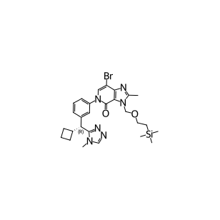 Cc1nc2c(Br)cn(-c3cccc([C@H](c4nncn4C)C4CCC4)c3)c(=O)c2n1COCC[Si](C)(C)C